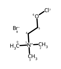 C[N+](C)(C)CCOCl.[Br-]